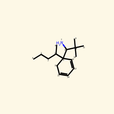 CCCC(C)C1(C(N)C(C)(C)C)C=CC=[C]C1